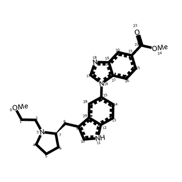 COCCN1CCC[C@@H]1Cc1c[nH]c2ccc(-n3cnc4cc(C(=O)OC)ccc43)cc12